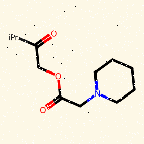 CC(C)C(=O)COC(=O)CN1CCCCC1